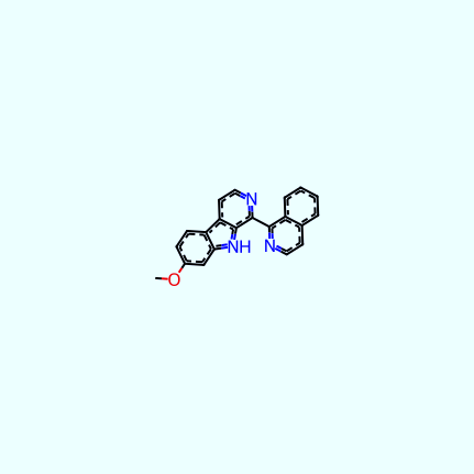 COc1ccc2c(c1)[nH]c1c(-c3nccc4ccccc34)nccc12